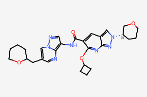 O=C(Nc1cnn2cc(CC3CCCCO3)cnc12)c1cc2cn([C@H]3CCCOC3)nc2nc1OC1CCC1